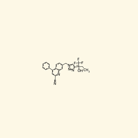 CC[C@](O)(c1cn(Cc2ccc3c(-c4ccccc4)cc(C#N)nc3c2)nn1)C(F)(F)F